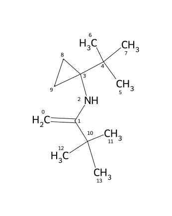 C=C(NC1(C(C)(C)C)CC1)C(C)(C)C